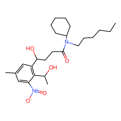 CCCCCCN(C(=O)CCC(O)c1cc(C)cc([N+](=O)[O-])c1C(C)O)C1CCCCC1